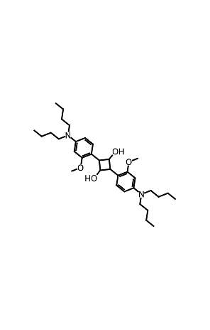 CCCCN(CCCC)c1ccc(C2C(O)C(c3ccc(N(CCCC)CCCC)cc3OC)C2O)c(OC)c1